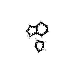 c1ccc2[nH]nnc2c1.c1conn1